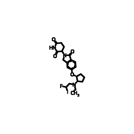 CCN(CC(F)I)[C@@H]1CCC[C@@H]1Oc1ccc2c(c1)CN(C1CCC(=O)NC1=O)C2=O